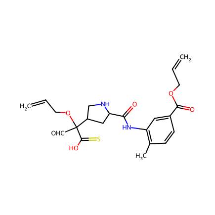 C=CCOC(=O)c1ccc(C)c(NC(=O)C2CC(C(C=O)(OCC=C)C(O)=S)CN2)c1